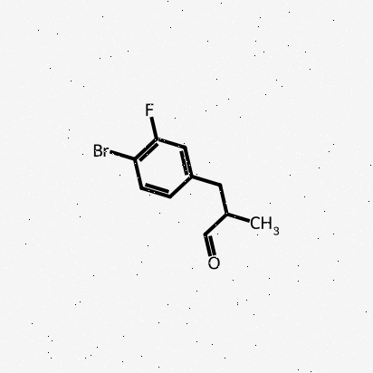 CC(C=O)Cc1ccc(Br)c(F)c1